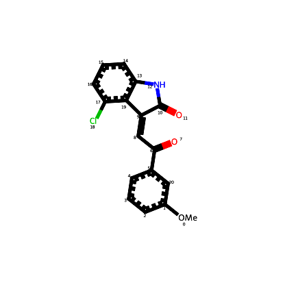 COc1cccc(C(=O)C=C2C(=O)Nc3cccc(Cl)c32)c1